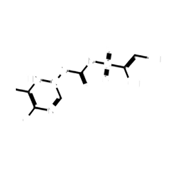 CC=C(C)S(=O)(=O)NC(=O)NN1C=NC(C)=C(C)N1